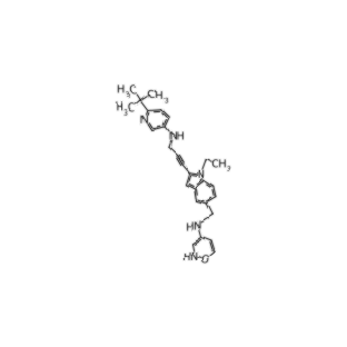 CCn1c(C#CCNc2ccc(C(C)(C)C)nc2)cc2cc(CNC3=CNOC=C3)ccc21